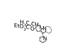 CCOC(=O)C(C)(C)Oc1ccc2c(c1)c(-c1ccccn1)c1n2CCCCC1